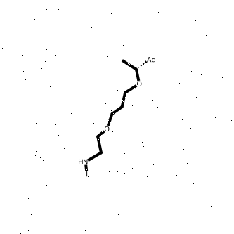 CC(=O)[C@@H](C)OCCCOCCNI